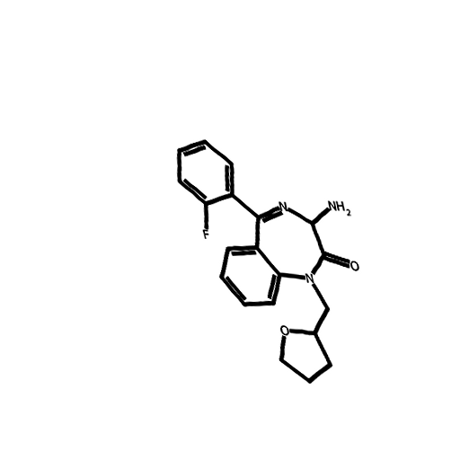 NC1N=C(c2ccccc2F)c2ccccc2N(CC2CCCO2)C1=O